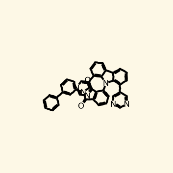 O=C1c2cccc(-n3c4c(-c5cncnc5)cccc4c4cccc(-c5cncnc5)c43)c2C(=O)N1c1cccc(-c2ccccc2)c1